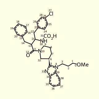 COCCCn1c([C@@H]2CCCN(C(=O)C(Cc3ccccc3)C(Cc3ccc(Cl)cc3)NC(=O)O)C2)nc2ccccc21